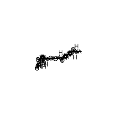 CCCNNC(=O)c1ccc(-c2ccc(C(=O)NCCOCCOCCNc3cccc4c3C(=O)N(C3CCC(=O)NC3)C4=O)cc2)cc1